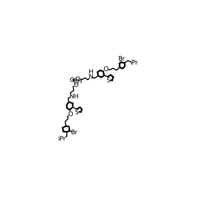 CC(C)Cc1ccc(CCCOc2ccc(CNCCCO[PH](=O)OCCCNCc3ccc(OCCCc4ccc(CC(C)C)c(Br)c4)c(-c4cccs4)c3)cc2-c2cccs2)cc1Br